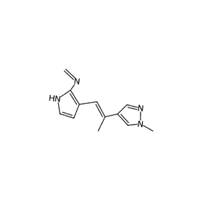 C=Nc1[nH]ccc1/C=C(\C)c1cnn(C)c1